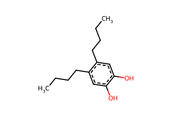 CCCCc1cc(O)c(O)cc1CCCC